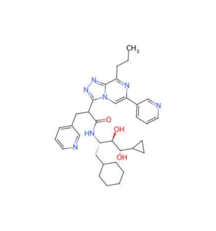 CCCc1nc(-c2cccnc2)cn2c(C(Cc3cccnc3)C(=O)N[C@@H](CC3CCCCC3)[C@@H](O)[C@@H](O)C3CC3)nnc12